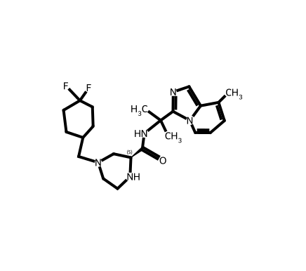 Cc1cccn2c(C(C)(C)NC(=O)[C@@H]3CN(CC4CCC(F)(F)CC4)CCN3)ncc12